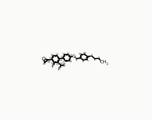 C=CCCc1ccc(COc2ccc(-c3ccc(C4CO4)c(F)c3C(F)F)cc2)cc1